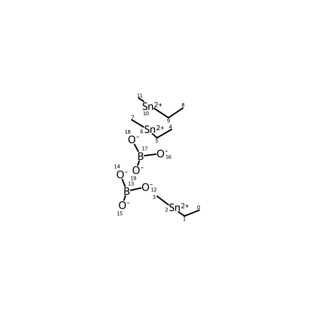 C[CH2][Sn+2][CH3].C[CH2][Sn+2][CH3].C[CH2][Sn+2][CH3].[O-]B([O-])[O-].[O-]B([O-])[O-]